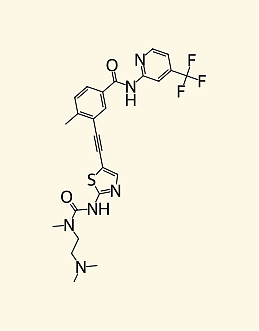 Cc1ccc(C(=O)Nc2cc(C(F)(F)F)ccn2)cc1C#Cc1cnc(NC(=O)N(C)CCN(C)C)s1